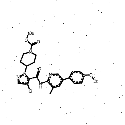 CCOc1ccc(-c2cnc(NC(=O)c3c(Cl)cnn3C3CCN(C(=O)OC(C)(C)C)CC3)c(C)c2)cc1